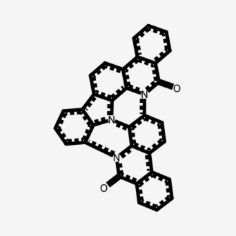 O=c1c2ccccc2c2ccc3c4cccc5c4n4c3c2n1c1ccc2c3ccccc3c(=O)n5c2c14